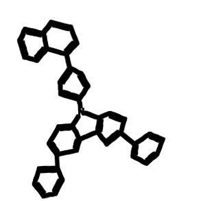 c1ccc(-c2ccc3c(c2)c2cc(-c4ccccc4)ccc2n3-c2ccc(-c3cccc4ccccc34)cc2)cc1